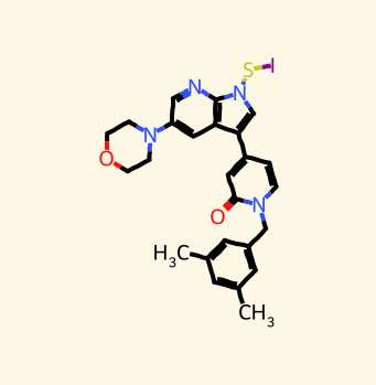 Cc1cc(C)cc(Cn2ccc(-c3cn(SI)c4ncc(N5CCOCC5)cc34)cc2=O)c1